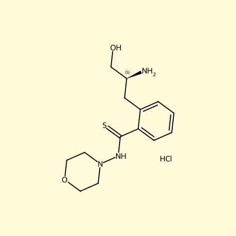 Cl.N[C@H](CO)Cc1ccccc1C(=S)NN1CCOCC1